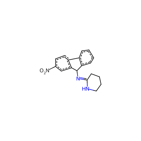 O=[N+]([O-])c1ccc2c(c1)C(/N=C1\CCCCN1)c1ccccc1-2